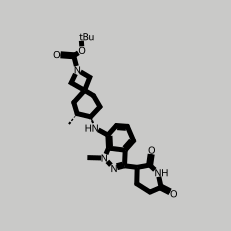 C[C@@H]1CC2(CC[C@@H]1Nc1cccc3c(C4CCC(=O)NC4=O)nn(C)c13)CN(C(=O)OC(C)(C)C)C2